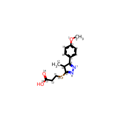 COc1ccc(C2=NN=C(SCCC(=O)O)C2C)cc1